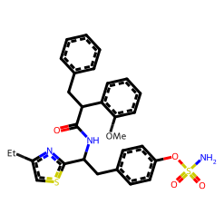 CCc1csc(C(Cc2ccc(OS(N)(=O)=O)cc2)NC(=O)C(Cc2ccccc2)c2ccccc2OC)n1